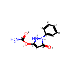 NC(=O)Oc1cc(=O)n(-c2ccccc2)[nH]1